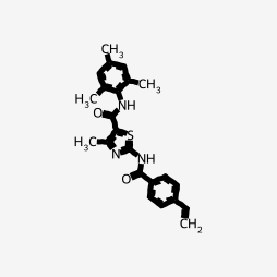 C=Cc1ccc(C(=O)Nc2nc(C)c(C(=O)Nc3c(C)cc(C)cc3C)s2)cc1